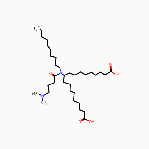 CCCCCCCCCCN(C(=O)CCCN(C)C)C(CCCCCCCCC(=O)O)CCCCCCCCC(=O)O